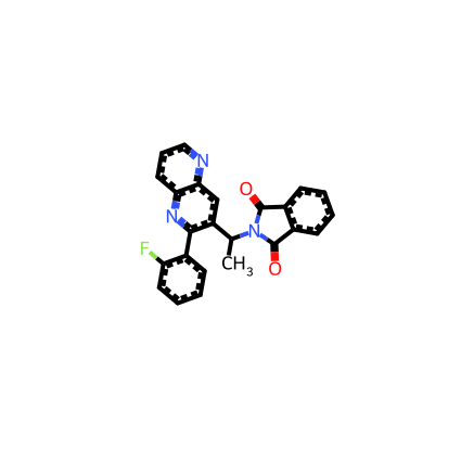 CC(c1cc2ncccc2nc1-c1ccccc1F)N1C(=O)c2ccccc2C1=O